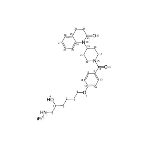 CC(C)NCC(O)CCCCOc1ccc(C(=O)N2CCC(N3C(=O)CCc4ccccc43)CC2)cc1